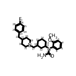 COc1ccccc1N(C(N)=O)C1CCCC(CN2CCC(Cc3ccc(F)cc3)CC2)C1